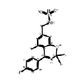 Cc1cc(CN[SH](=O)=O)cc2c1C(c1ccc(F)cc1)=NC(C)(C)O2